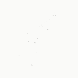 O=C(O)c1ccc(Oc2ccc(C3OC(=O)c4ccccc43)cc2)cc1C(=O)O